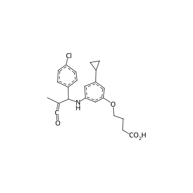 CC(=C=O)C(Nc1cc(OCCCC(=O)O)cc(C2CC2)c1)c1ccc(Cl)cc1